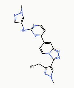 CC(C)Cc1nn(C)cc1-c1nnc2cc(-c3ccnc(Nc4cnn(C)c4)n3)ccn12